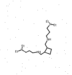 CCN(CC)CCCNCC1CCC1CNCCCN(CC)CC